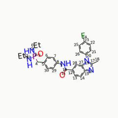 CCNP(=O)(Cc1ccc(NC(=O)c2ccc3nc(C)n(-c4ccc(F)cc4)c3c2)cc1)NCC